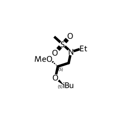 CC[C@H](C)O[C@@H](CN(CC)S(C)(=O)=O)OC